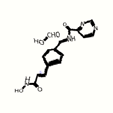 O=C(/C=C/c1ccc(CNC(=O)c2ccncn2)cc1)NO.O=CO